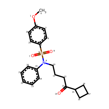 COc1ccc(S(=O)(=O)N(CCCC(=O)C2CCC2)c2ccccc2)cc1